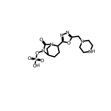 O=C1N2CC(CCC2c2nnc(CN3CCNCC3)o2)N1OS(=O)(=O)O